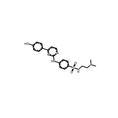 CN(C)CCNS(=O)(=O)c1ccc(Nc2nccc(-c3ccc(O)cc3)n2)cc1